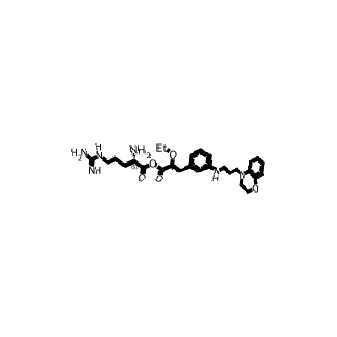 CCOC(Cc1cccc(NCCCN2CCOc3ccccc32)c1)C(=O)OC(=O)[C@@H](N)CCCNC(=N)N